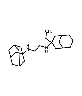 CCC1(NCCNC23CC4CC(CC(C4)C2)C3)CC2CCCC(C2)C1